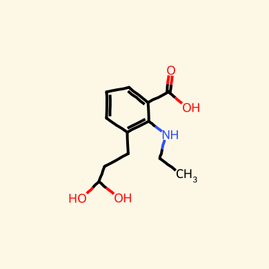 CCNc1c(CCC(O)O)cccc1C(=O)O